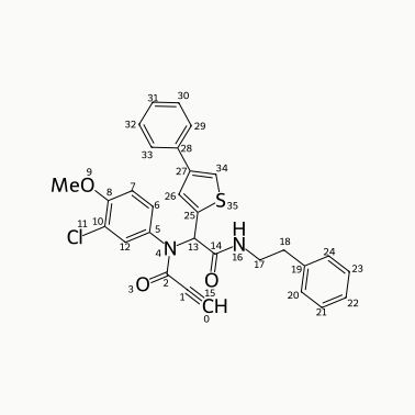 C#CC(=O)N(c1ccc(OC)c(Cl)c1)C(C(=O)NCCc1ccccc1)c1cc(-c2ccccc2)cs1